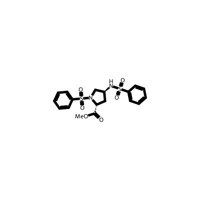 COC(=O)[C@H]1C[C@H](NS(=O)(=O)c2ccccc2)CN1S(=O)(=O)c1ccccc1